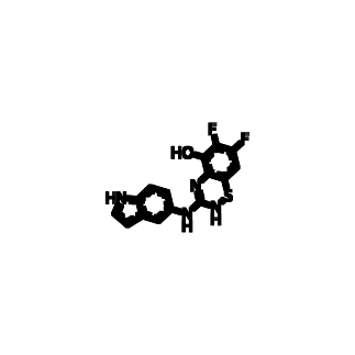 Oc1c(F)c(F)cc2c1N=C(Nc1ccc3[nH]ccc3c1)NS2